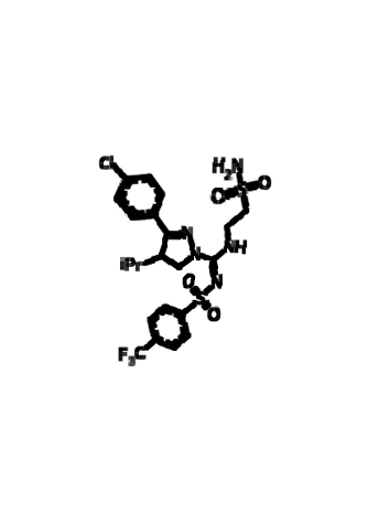 CC(C)C1CN(C(=NS(=O)(=O)c2ccc(C(F)(F)F)cc2)NCCS(N)(=O)=O)N=C1c1ccc(Cl)cc1